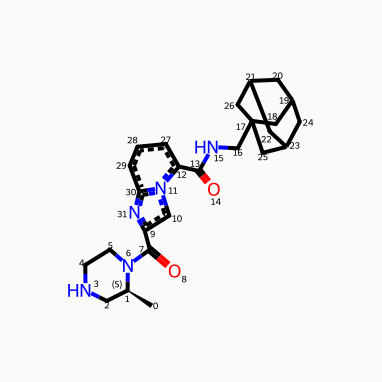 C[C@H]1CNCCN1C(=O)c1cn2c(C(=O)NCC34CC5CC(CC(C5)C3)C4)cccc2n1